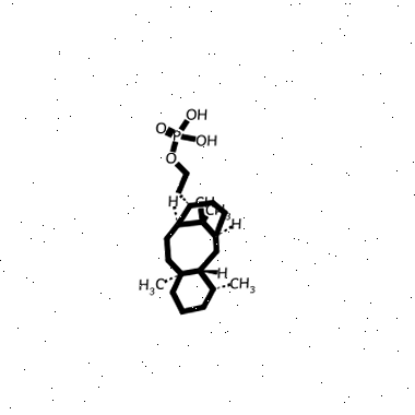 C[C@@H]1CCC[C@@]2(C)CC[C@H]3[C@H](CCOP(=O)(O)O)CC[C@@H](C[C@H]12)C3(C)C